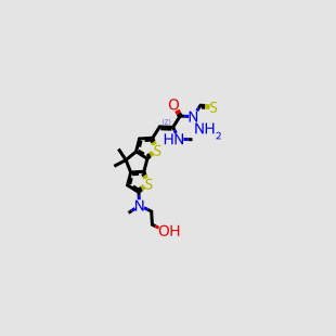 CN/C(=C\c1cc2c(s1)-c1sc(N(C)CCO)cc1C2(C)C)C(=O)N(N)C=S